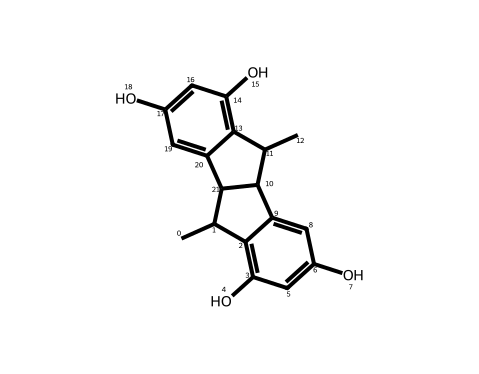 CC1c2c(O)cc(O)cc2C2C(C)c3c(O)cc(O)cc3C12